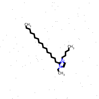 CCCCCCCCCCCCCCCCc1n(CC)cc[n+]1CCCCC